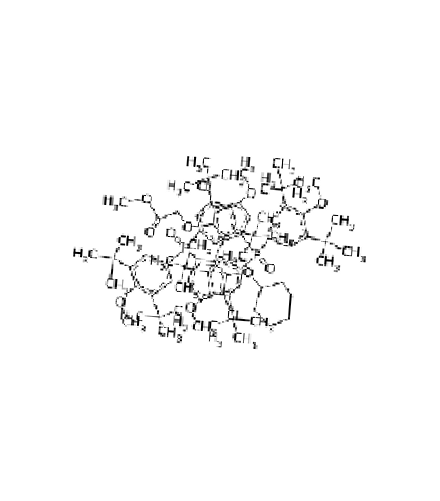 COC(=O)COc1c(Cl)ccc(P(=O)(c2cc(C(C)(C)C)c(OC)c(C(C)(C)C)c2)c2cc(C(C)(C)C)c(OC)c(C(C)(C)C)c2)c1-c1c(P(=O)(c2cc(C(C)(C)C)c(OC)c(C(C)(C)C)c2)c2cc(C(C)(C)C)c(OC)c(C(C)(C)C)c2)ccc(Cl)c1OC1CCCCC1